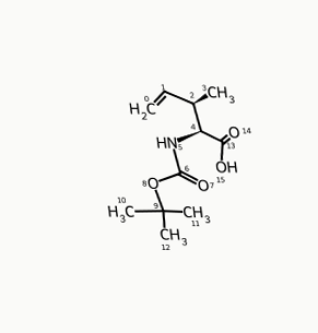 C=C[C@@H](C)[C@H](NC(=O)OC(C)(C)C)C(=O)O